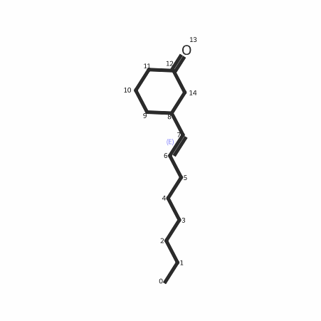 CCCCCC/C=C/C1CCCC(=O)C1